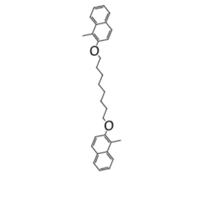 Cc1c(OCCCCCCCCOc2ccc3ccccc3c2C)ccc2ccccc12